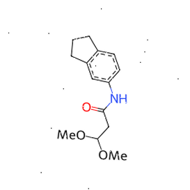 COC(CC(=O)Nc1ccc2c(c1)CCC2)OC